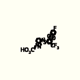 CN(Sc1cc(C(F)(F)F)cc(S(=O)(=O)c2ccc(F)cc2)c1)[C@@H]1CCCc2c1cnn2CCC(=O)O